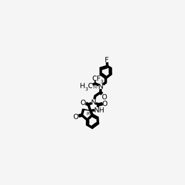 C[C@H](N(Cc1ccc(F)cc1)C(=O)CN1C(=O)N[C@@]2(CC(=O)c3ccccc32)C1=O)C(F)(F)F